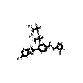 Brc1cnc2[nH]c(-c3ccc(NCc4ncc[nH]4)cc3)nc2c1.O=C(O)C(F)(F)F.O=C(O)C(F)(F)F